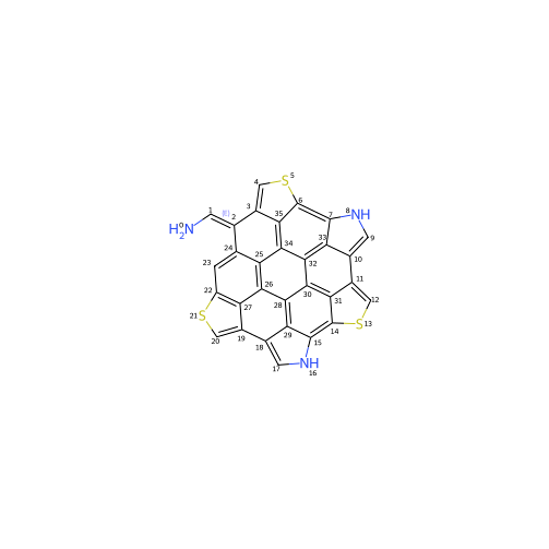 N/C=c1/c2csc3c4[nH]cc5c6csc7c8[nH]cc9c%10csc%11cc1c1c(c%11%10)c(c98)c(c67)c(c54)c1c23